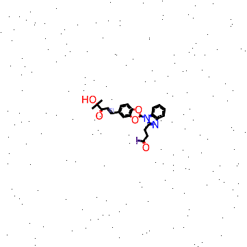 CC(C)(O)C(=O)/C=C/c1ccc2c(c1)OC(n1c(CCC(=O)I)nc3ccccc31)O2